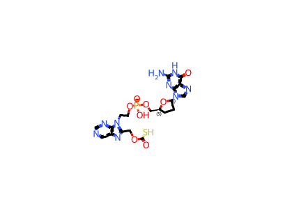 Nc1nc2c(ncn2[C@H]2CC[C@@H](COP(=O)(O)OCCn3c(COC(=O)S)nc4cncnc43)O2)c(=O)[nH]1